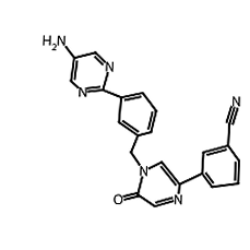 N#Cc1cccc(-c2cn(Cc3cccc(-c4ncc(N)cn4)c3)c(=O)cn2)c1